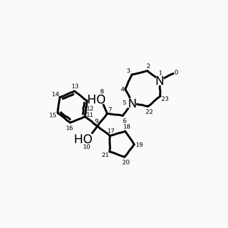 CN1CCCN(CC(O)C(O)(c2ccccc2)C2CCCC2)CC1